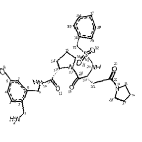 NCc1ccc(Cl)cc1CNC(=O)[C@@H]1CCCN1C(=O)[C@@H](CC(=O)N1CCCC1)NS(=O)(=O)Cc1ccccc1